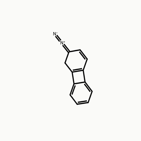 [N-]=[N+]=C1C=CC2=C(C1)c1ccccc12